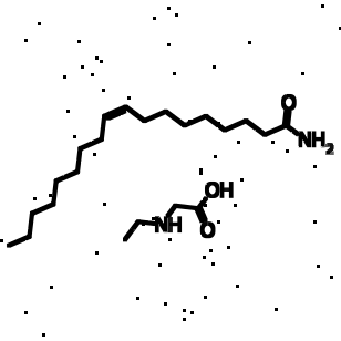 CCCCCCCC/C=C\CCCCCCCC(N)=O.CCNCC(=O)O